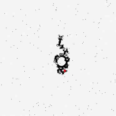 CCn1c(-c2cccnc2C(C)C)c2c3cc(ccc31)-c1cccc(c1)C[C@H](NC(=O)[C@@H](COC1CN(C(=O)C#CC(C)(C)N(C)C)C1)C(C)C)C(=O)N1CCC[C@H](N1)C(=O)OCC(C)(C)C2